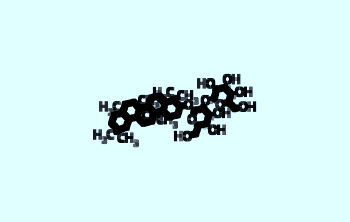 CC1(C)CCC2(C)CCC3(C)C(CCC4C5(C)CCC(O[C@@H]6OC(CO)[C@@H](O)[C@H](O)C6O[C@@H]6OC(CO)[C@@H](O)[C@H](O)C6O)C(C)(C)C5=CCC43C)C2C1